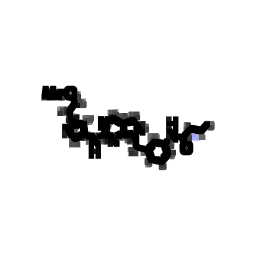 C/C=C/C(=O)Nc1cccc(Cn2ncc3cnc(Nc4cnn(CCOC)c4)nc32)c1